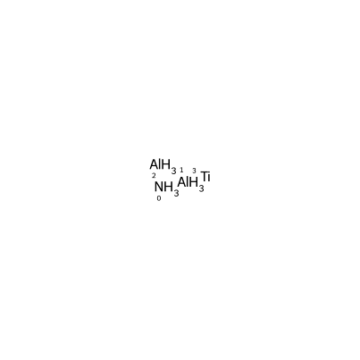 N.[AlH3].[AlH3].[Ti]